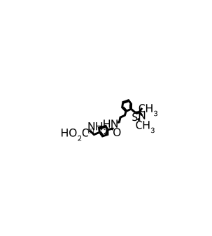 Cc1nc(C)c(-c2ccccc2CCCNC(=O)c2ccc(C[C@H](N)C(=O)O)cc2)s1